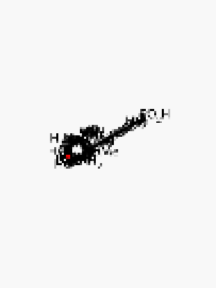 CCC(=O)N[C@H](C(=O)NCC(=O)N[C@H]1C[S+]([O-])c2[nH]c3c(CSCCCCNC(=O)CCOCCOCCOCCOCCNC(=O)C(C)CC(=O)O)c(OC)ccc3c2C[C@@H](C(N)=O)NC(=O)[C@H]([C@@H](C)[C@@H](O)CO)NC(=O)[C@@H]2C[C@@H](O)CN2C(=O)[C@H](CC(N)=O)NC1=O)[C@@H](C)CC